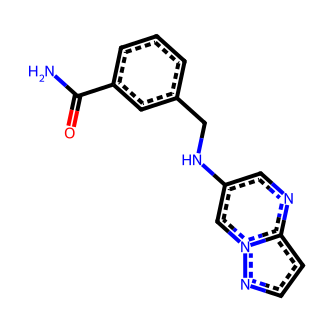 NC(=O)c1cccc(CNc2cnc3ccnn3c2)c1